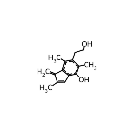 C=C1C(C)=Cc2c(O)c(C)c(CCO)c(C)c21